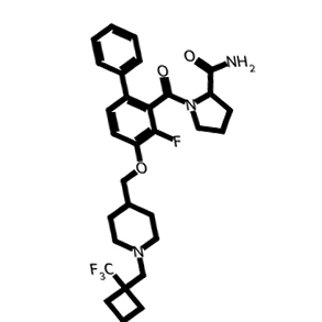 NC(=O)C1CCCN1C(=O)c1c(-c2ccccc2)ccc(OCC2CCN(CC3(C(F)(F)F)CCC3)CC2)c1F